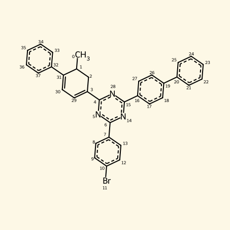 CC1CC(c2nc(-c3ccc(Br)cc3)nc(-c3ccc(-c4ccccc4)cc3)n2)=CC=C1c1ccccc1